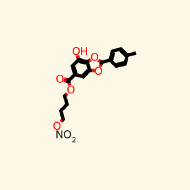 Cc1ccc(C2Oc3cc(C(=O)OCCCCO[N+](=O)[O-])cc(O)c3O2)cc1